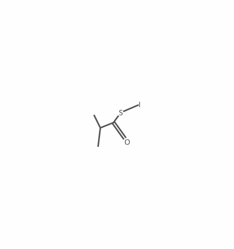 CC(C)C(=O)SI